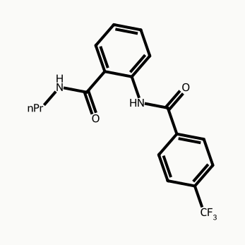 CCCNC(=O)c1ccccc1NC(=O)c1ccc(C(F)(F)F)cc1